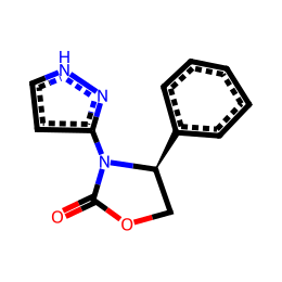 O=C1OC[C@H](c2ccccc2)N1c1cc[nH]n1